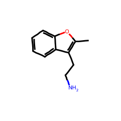 Cc1oc2ccccc2c1CCN